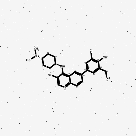 CN(C)[C@H]1CC[C@H](Nc2c(C#N)cnc3ccc(-c4cc(Cl)c(O)c(CO)c4)cc23)CC1